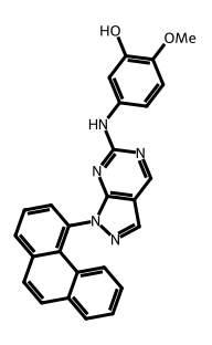 COc1ccc(Nc2ncc3cnn(-c4cccc5ccc6ccccc6c45)c3n2)cc1O